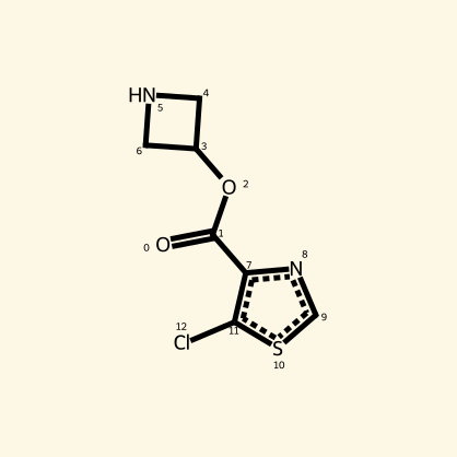 O=C(OC1CNC1)c1ncsc1Cl